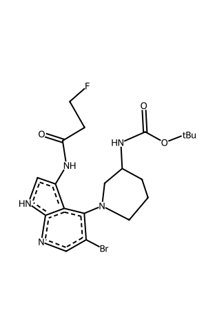 CC(C)(C)OC(=O)NC1CCCN(c2c(Br)cnc3[nH]cc(NC(=O)CCF)c23)C1